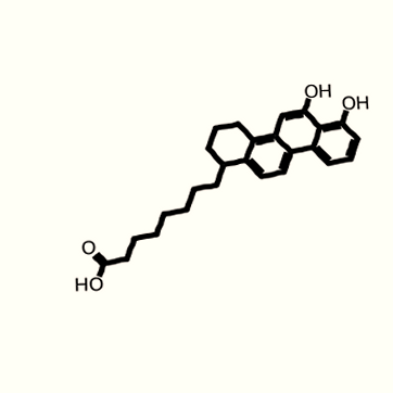 O=C(O)CCCCCCCC1CCCc2c1ccc1c2cc(O)c2c(O)cccc21